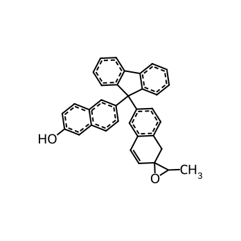 CC1OC12C=Cc1cc(C3(c4ccc5cc(O)ccc5c4)c4ccccc4-c4ccccc43)ccc1C2